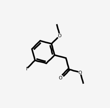 COC(=O)Cc1cc(I)ccc1OC